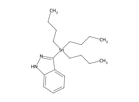 CCC[CH2][Sn]([CH2]CCC)([CH2]CCC)[c]1n[nH]c2ccccc12